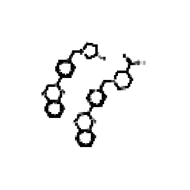 F[C@H]1CCN(Cc2ccc(C3COc4ccccc4O3)cc2)C1.NC(=O)C1CCCN(Cc2ccc(C3COc4ccccc4O3)cc2)C1